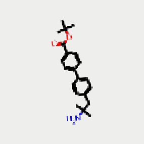 CC(C)(N)Cc1ccc(-c2ccc(C(=O)OC(C)(C)C)cc2)cc1